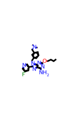 CCCCOc1nc(N)c2nc(-c3cncc(F)c3)n(Cc3cccc(CN(C)C)c3)c2n1